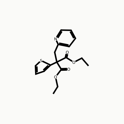 CCOC(=O)C(Cc1ccccn1)(C(=O)OCC)c1cccs1